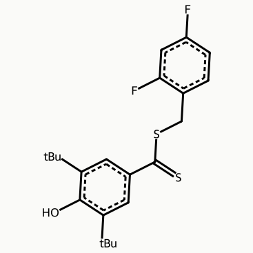 CC(C)(C)c1cc(C(=S)SCc2ccc(F)cc2F)cc(C(C)(C)C)c1O